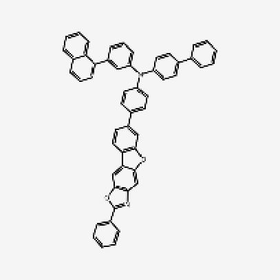 c1ccc(-c2ccc(N(c3ccc(-c4ccc5c(c4)oc4cc6nc(-c7ccccc7)oc6cc45)cc3)c3cccc(-c4cccc5ccccc45)c3)cc2)cc1